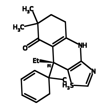 CC[C@@]1(C2(C)C=CC=CC2)C2=C(CCC(C)(C)C2=O)Nc2ncsc21